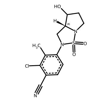 Cc1c(N2C[C@@H]3C(O)CCN3S2(=O)=O)ccc(C#N)c1Cl